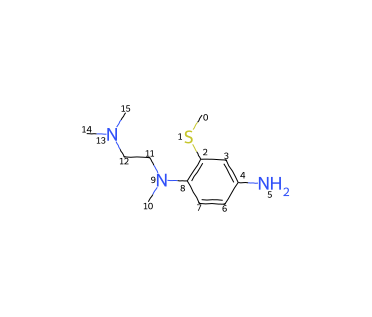 CSc1cc(N)ccc1N(C)CCN(C)C